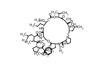 C=C(C)C(=O)N1CCC[C@H]1C(=O)N(C)[C@@H](CC(C)C)C(=O)N[C@@H]1C(=O)N[C@H]([C@@H](C)CC)[C@@H](O)CC(=O)O[C@@H](C(C)C)C(=O)[C@H](C)C(=O)N[C@@H](CC(C)C)CN2CCC[C@H]2C(=O)N(C)[C@@H](Cc2ccc(OC)cc2)C(=O)O[C@@H]1C